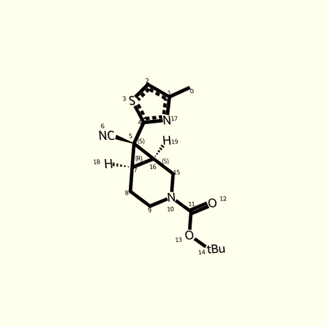 Cc1csc([C@@]2(C#N)[C@@H]3CCN(C(=O)OC(C)(C)C)C[C@@H]32)n1